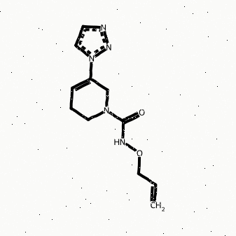 C=CCONC(=O)N1CCC=C(n2ccnn2)C1